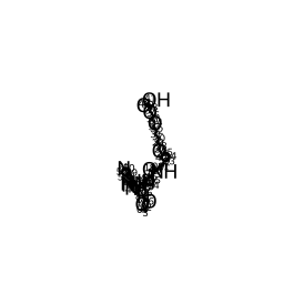 CC(C)(C)OC(=O)N1CCC(Nc2cccc(C(=O)NCCc3cccc(OCCCCCCOCCOCC(=O)O)c3)c2)(c2nnc(-c3ccncc3)[nH]2)CC1